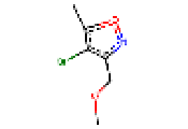 COCc1noc(C)c1Br